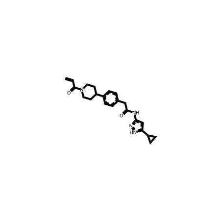 C=CC(=O)N1CCC(c2ccc(CC(=O)Nc3cc(C4CC4)[nH]n3)cc2)CC1